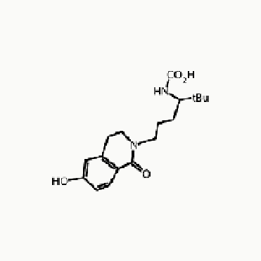 CC(C)(C)C(CCCN1CCc2cc(O)ccc2C1=O)NC(=O)O